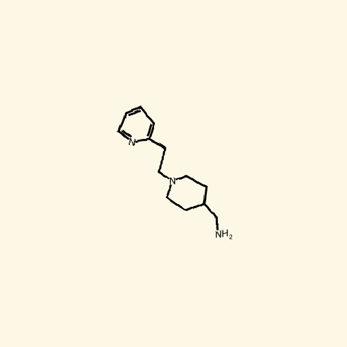 NCC1CCN(CCc2ccccn2)CC1